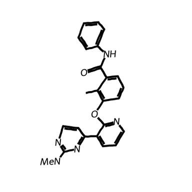 CNc1nccc(-c2cccnc2Oc2cccc(C(=O)Nc3ccccc3)c2C)n1